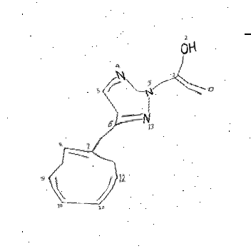 C=C(O)n1ncc(-c2ccccc2)n1